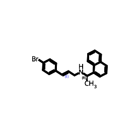 C[C@@H](NC/C=C/c1ccc(Br)cc1)c1cccc2ccccc12